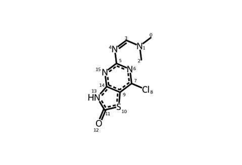 CN(C)/C=N\c1nc(Cl)c2sc(=O)[nH]c2n1